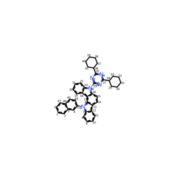 c1ccc2cc(-n3c4ccccc4c4ccc5c(c6ccccc6n5-c5nc(C6CCCCC6)nc(C6CCCCC6)n5)c43)ccc2c1